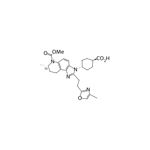 COC(=O)N1c2ccc3c(nc(CCc4nc(C)co4)n3[C@H]3CC[C@H](C(=O)O)CC3)c2CC[C@@H]1C